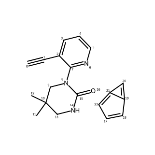 C#Cc1cccnc1N1CC(C)(C)CNC1=O.c1cc2cc-2c1